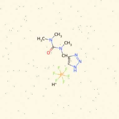 CN(C)C(=O)N(C)C.F[P-](F)(F)(F)(F)F.[H+].c1c[nH]nn1